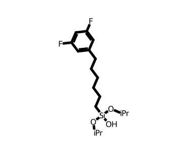 CC(C)O[Si](O)(CCCCCCc1cc(F)cc(F)c1)OC(C)C